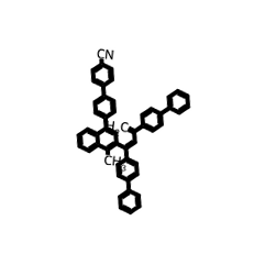 C=C(/C=C(/c1ccc(-c2ccccc2)cc1)c1cc(-c2ccc(-c3ccc(C#N)cc3)cc2)c2ccccc2c1C)c1ccc(-c2ccccc2)cc1